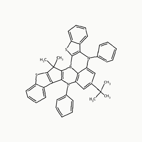 CC(C)(C)c1cc2c3c(c1)N(c1ccccc1)c1c(sc4ccccc14)B3C1=C(c3c(sc4ccccc34)C1(C)C)N2c1ccccc1